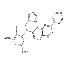 COc1cc(OC)c(F)c(N(Cc2ncc[nH]2)c2ccc3ncc(-c4ccncc4)nc3n2)c1